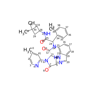 Cc1ccnc(N2C(=O)CC[C@H]2C(=O)N(c2cccc3cn[nH]c23)C(C(=O)NC2CC(C)(C)C2)c2ccccc2C)c1